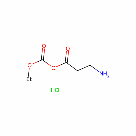 CCOC(=O)OC(=O)CCN.Cl